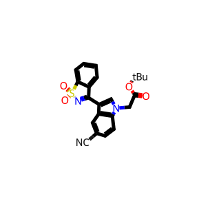 CC(C)(C)OC(=O)Cn1cc(C2=NS(=O)(=O)c3ccccc32)c2cc(C#N)ccc21